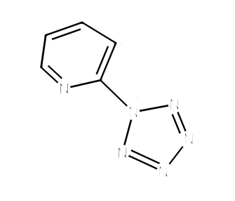 c1ccc(-n2nnnn2)nc1